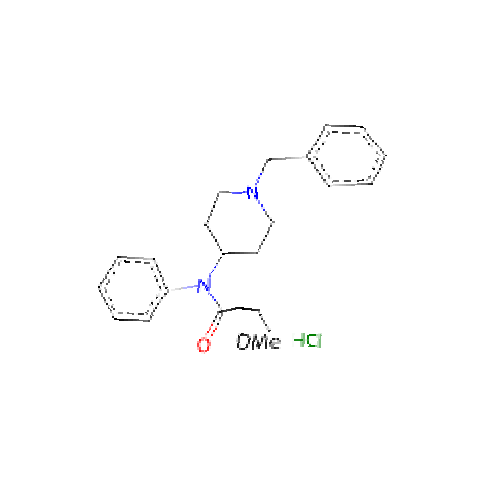 COCC(=O)N(c1ccccc1)C1CCN(Cc2ccccc2)CC1.Cl